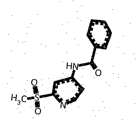 CS(=O)(=O)c1cc(NC(=O)c2ccccc2)ccn1